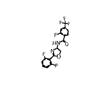 O=C(NC1COC(c2c(F)cccc2F)=N1)c1ccc(C(F)(F)F)cc1F